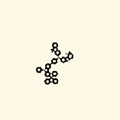 CC1(C)c2ccccc2-c2ccc(N(c3ccc(-c4ccc5c(c4)c4cc(C6(c7ccccc7)c7ccccc7-c7ccccc76)ccc4n5-c4ccccc4)cc3)c3ccc4oc5c(c4c3)[C@@H]3CC3C=C5)cc21